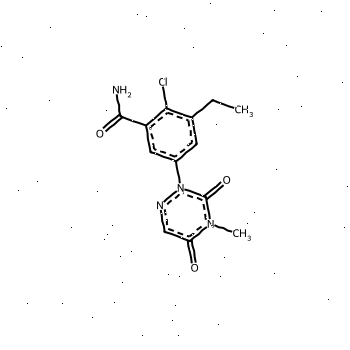 CCc1cc(-n2ncc(=O)n(C)c2=O)cc(C(N)=O)c1Cl